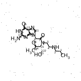 CCCNCCN(C(=O)Cn1cnc2c(=O)[nH]c(N)nc21)[C@H](CO)C(C)=O